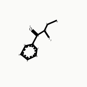 CCC(I)C(=O)c1ccccc1